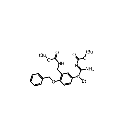 CCN(C(N)=NC(=O)OC(C)(C)C)c1ccc(OCc2ccccc2)c(CNC(=O)OC(C)(C)C)c1